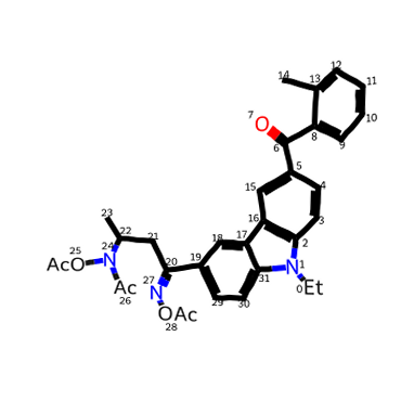 CCn1c2ccc(C(=O)c3ccccc3C)cc2c2cc(C(CC(C)N(OC(C)=O)C(C)=O)=NOC(C)=O)ccc21